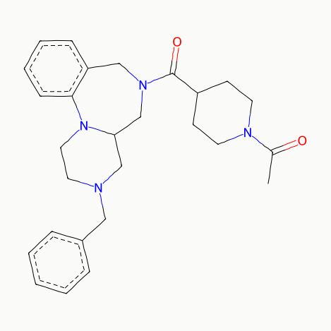 CC(=O)N1CCC(C(=O)N2Cc3ccccc3N3CCN(Cc4ccccc4)CC3C2)CC1